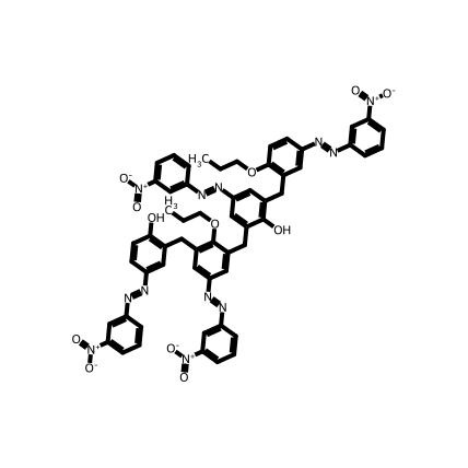 CCCOc1ccc(N=Nc2cccc([N+](=O)[O-])c2)cc1Cc1cc(N=Nc2cccc([N+](=O)[O-])c2)cc(Cc2cc(N=Nc3cccc([N+](=O)[O-])c3)cc(Cc3cc(N=Nc4cccc([N+](=O)[O-])c4)ccc3O)c2OCCC)c1O